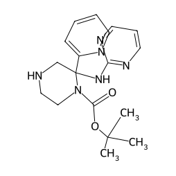 CC(C)(C)OC(=O)N1CCNCC1(Nc1ncccn1)c1ccccn1